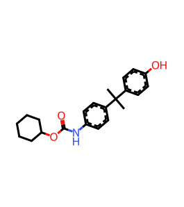 CC(C)(c1ccc(O)cc1)c1ccc(NC(=O)OC2CCCCC2)cc1